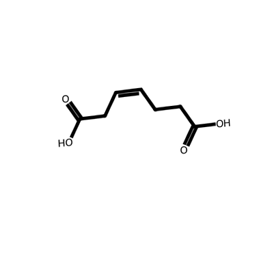 O=C(O)C/C=C\CCC(=O)O